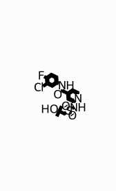 CC(C)(O)CS(=O)(=O)Nc1cc(C(=O)Nc2ccc(F)c(Cl)c2)ccn1